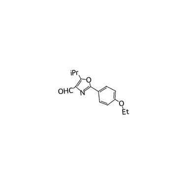 CCOc1ccc(-c2nc(C=O)c(C(C)C)o2)cc1